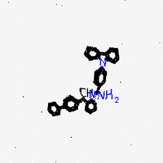 C=C(c1ccc(-c2ccccc2)cc1)c1ccccc1/N=C(\N)c1ccc(-n2c3ccccc3c3ccccc32)cc1